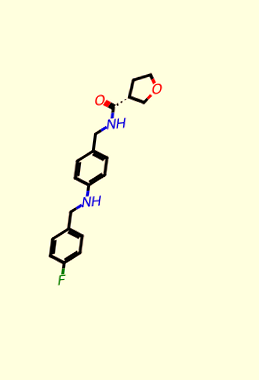 O=C(NCc1ccc(NCc2ccc(F)cc2)cc1)[C@@H]1CCOC1